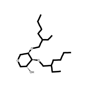 CCCCC(CC)CO[C@H]1[C@H](O)COC[C@H]1OCC(CC)CCCC